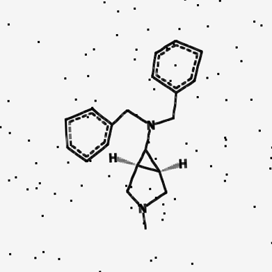 CN1C[C@@H]2C(N(Cc3ccccc3)Cc3ccccc3)[C@@H]2C1